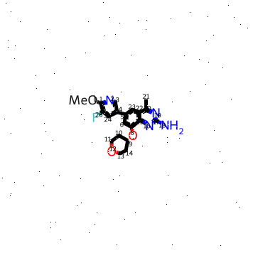 COc1ncc(-c2cc(OC3CCOCC3)c3nc(N)nc(C)c3c2)cc1F